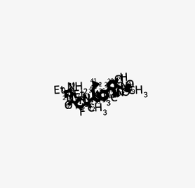 CCC1CN(C(=O)c2cc(F)c3c(C)c(-c4cc5ccc(-c6ccc(Cl)c7c(NS(C)(=O)=O)nn(C)c67)cc5n4CC4CC4)nn3c2)C(CC)[C@@H]1N